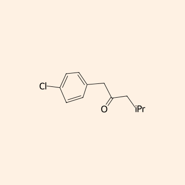 CC(C)CC(=O)Cc1ccc(Cl)cc1